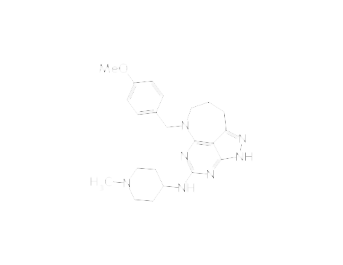 COc1ccc(CN2CCCc3n[nH]c4nc(NC5CCN(C)CC5)nc2c34)cc1